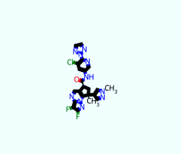 Cn1cc([C@]2(C)C[C@H](C(=O)Nc3cnc(-n4nccn4)c(Cl)c3)c3cnc4c(F)c(F)nn4c32)cn1